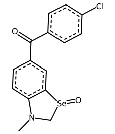 CN1C[Se](=O)c2cc(C(=O)c3ccc(Cl)cc3)ccc21